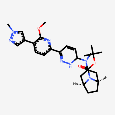 COc1nc(C2=NNC(N(C)C3C[C@H]4CC[C@@H](C3)N4C(=O)OC(C)(C)C)C=C2)ccc1-c1cnn(C)c1